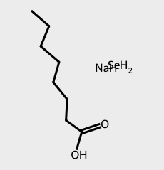 CCCCCCCC(=O)O.[NaH].[SeH2]